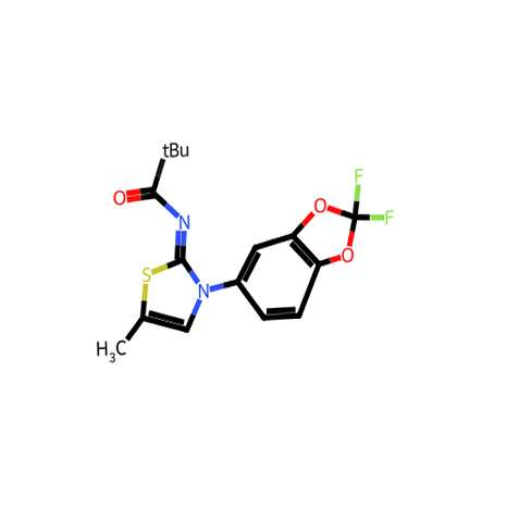 Cc1cn(-c2ccc3c(c2)OC(F)(F)O3)c(=NC(=O)C(C)(C)C)s1